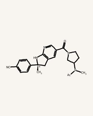 CC(=O)N(C)C1CCN(C(=O)c2cnc3c(c2)C[C@](C)(c2ccc(C#N)cc2)N3)C1